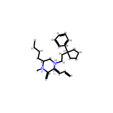 C=C/C=C1/C(=C)N(C)C(CCCC)CN1CCC1(c2ccccc2)CCCC1